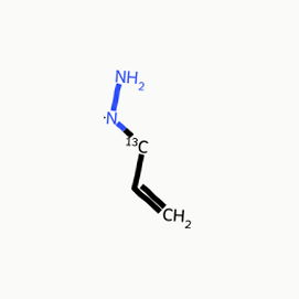 C=C[13CH2][N]N